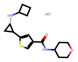 Cl.O=C(NC1CCOCC1)c1csc(C2C[C@@H]2NC2CCC2)c1